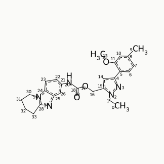 CCn1nc(-c2ccc(C)cc2OC)cc1COC(=O)Nc1ccc2c(c1)nc1n2CCCC1